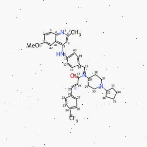 COc1ccc2nc(C)cc(Nc3ccc(CN(C(=O)/C=C/c4ccc(C(F)(F)F)cc4)C4CCN(C5CCCC5)CC4)cc3)c2c1